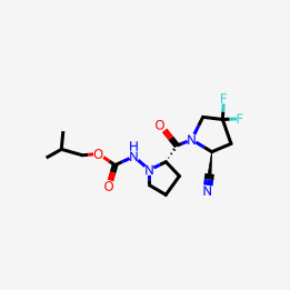 CC(C)COC(=O)NN1CCC[C@H]1C(=O)N1CC(F)(F)C[C@H]1C#N